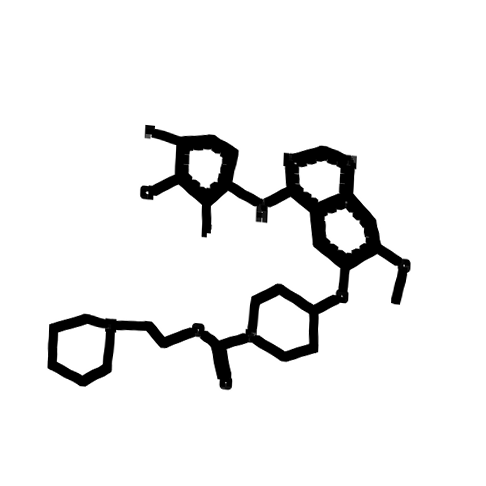 COc1cc2ncnc(Nc3ccc(F)c(Cl)c3F)c2cc1OC1CCN(C(=O)OCCN2CCCCC2)CC1